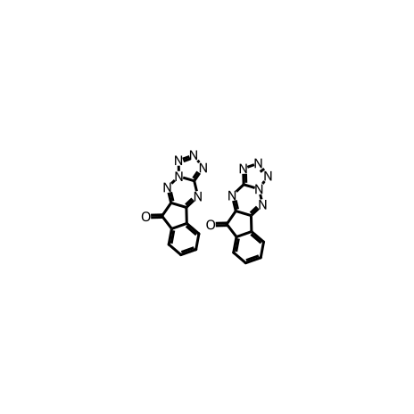 O=C1c2ccccc2-c2nc3nnnn3nc21.O=C1c2ccccc2-c2nn3nnnc3nc21